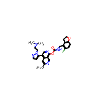 COc1cc2c(-c3ccnn3CCN(C)C)cnc(OC(=O)NCc3c(F)ccc4c3CCO4)c2cn1